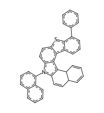 C1=CC2C=Cc3c(c4c5c(ccc4n3-c3cccc4ccccc34)sc3c(-c4ccccc4)cccc35)C2C=C1